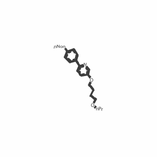 CCCCCCCCCc1ccc(-c2ccc(OCCCCOCCC)cn2)cc1